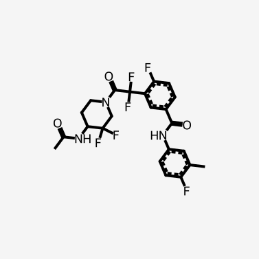 CC(=O)NC1CCN(C(=O)C(F)(F)c2cc(C(=O)Nc3ccc(F)c(C)c3)ccc2F)CC1(F)F